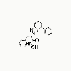 O=C(NO)C(Cc1ccccc1)n1cc2c(-c3ccccc3)cccc2n1